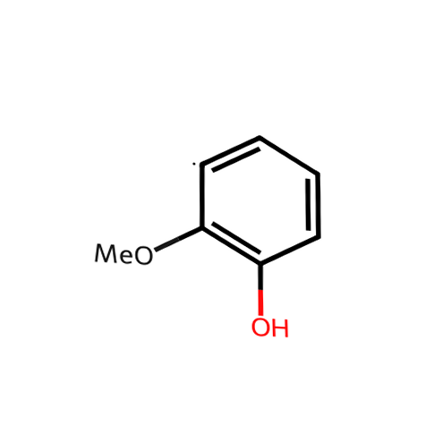 COc1[c]cccc1O